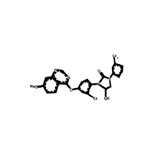 CCc1cc(Oc2ncnc3cc(OC)ccc23)ccc1N1C(=O)N(c2cccc(C(F)(F)F)c2)CC1O